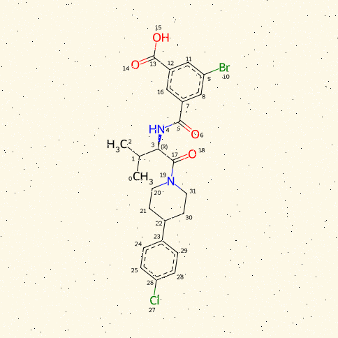 CC(C)[C@@H](NC(=O)c1cc(Br)cc(C(=O)O)c1)C(=O)N1CCC(c2ccc(Cl)cc2)CC1